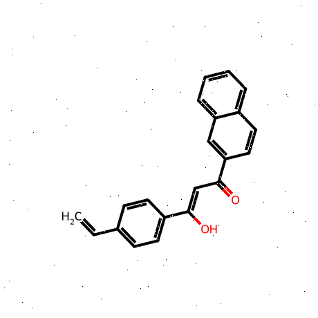 C=Cc1ccc(/C(O)=C/C(=O)c2ccc3ccccc3c2)cc1